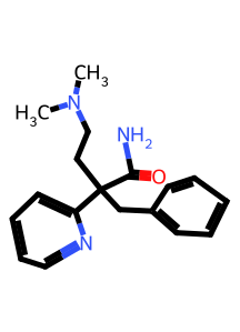 CN(C)CCC(Cc1ccccc1)(C(N)=O)c1ccccn1